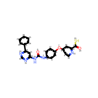 O=C(Nc1ccc(Oc2ccnc(C(=O)S)c2)cc1)Nc1cc(-c2ccccc2)ncn1